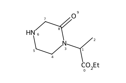 CCOC(=O)C(C)N1CCNCC1=O